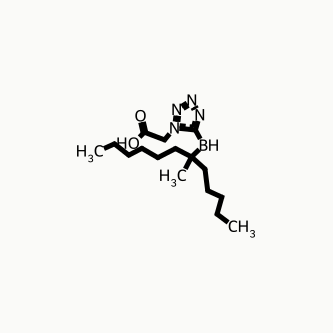 CCCCCCC(C)(Bc1nnnn1CC(=O)O)CCCCC